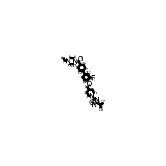 CCN1CCN(C(=O)C2CC=C(c3ccc(OCC4CCN(c5nc(C(C)C)no5)CC4)c(F)c3)CC2)CC1